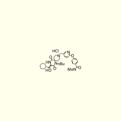 CCCCN1C(=O)[C@@H]([C@H](O)C2CCCCC2)NC(=O)C12CCN(Cc1ccc(Oc3ccc(C(=O)NC)cc3)nc1)CC2.Cl